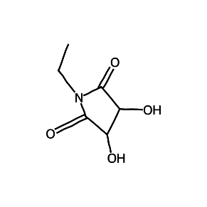 CCN1C(=O)C(O)C(O)C1=O